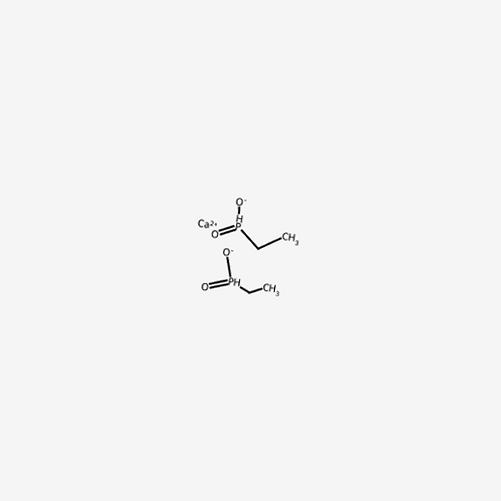 CC[PH](=O)[O-].CC[PH](=O)[O-].[Ca+2]